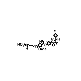 COc1cc2c(Oc3ccc(NC(=O)C4(C(=O)Nc5ccc(F)cc5)CC4)cc3F)ccnc2cc1OCCCCCNC(=O)O